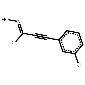 ON=C(Cl)C#Cc1cccc(Cl)c1